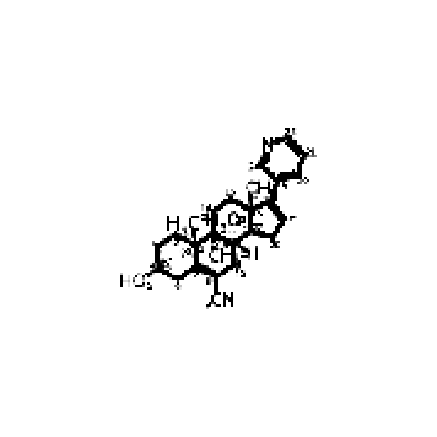 C[C@]12CC[C@H](O)CC1=C(C#N)C[C@@H]1[C@]2(C)CC[C@]2(C)C(c3cccnc3)=CC[C@@]12C